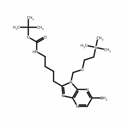 Bc1cnc2nc(CCCCNC(=O)OC(C)(C)C)n(COCC[Si](C)(C)C)c2n1